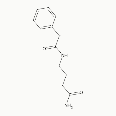 NC(=O)CCCNC(=O)[CH]c1ccccc1